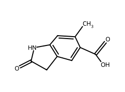 Cc1cc2c(cc1C(=O)O)CC(=O)N2